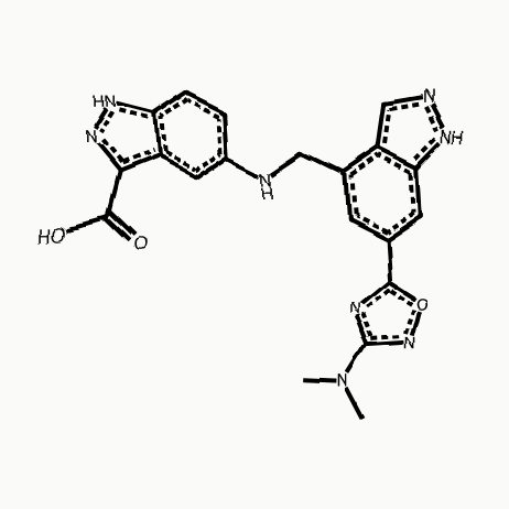 CN(C)c1noc(-c2cc(CNc3ccc4[nH]nc(C(=O)O)c4c3)c3cn[nH]c3c2)n1